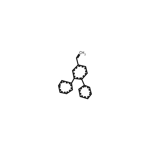 C=Cc1ccc(-c2ccccc2)c(-c2ccccc2)c1